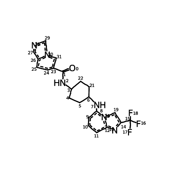 O=C(NC1CCC(Nc2cccc3nc(C(F)(F)F)cn23)CC1)c1ccc2cncn2c1